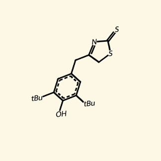 CC(C)(C)c1cc(CC2=NC(=S)SC2)cc(C(C)(C)C)c1O